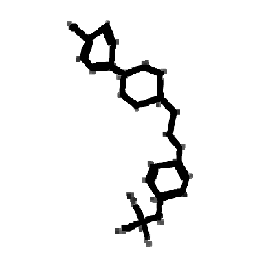 [O]c1ccc(N2CCN(CCCc3ccc(OC(F)(F)F)cc3)CC2)cc1